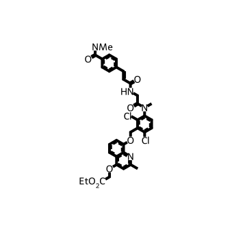 CCOC(=O)COc1cc(C)nc2c(OCc3c(Cl)ccc(N(C)C(=O)CNC(=O)/C=C/c4ccc(C(=O)NC)cc4)c3Cl)cccc12